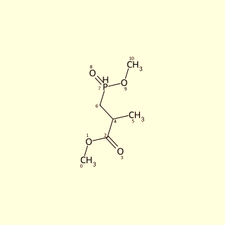 COC(=O)C(C)C[PH](=O)OC